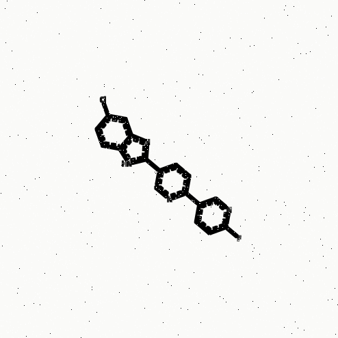 Fc1ccc(-c2ccc(-c3nc4cc(Cl)ccc4[nH]3)cn2)cn1